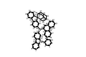 c1ccc(-n2c3ccccc3c3ccc(N(c4ccc5c(c4)C4(c6ccccc6-5)C5CC6CC(C5)CC4C6)c4cc5ccccc5c5ccccc45)cc32)cc1